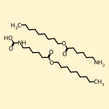 CCCCCCCCCOC(=O)CCCCCN.CCCCCCCCCOC(=O)CCCCCNC(=O)O